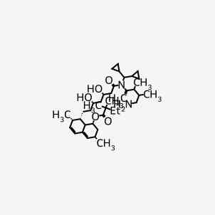 C=C(C(C)C(C)CN)N(C(=O)C[C@H](O)C[C@H](O)CC[C@@H]1C2C(=C[C@H](C)C[C@@H]2OC(=O)C(C)(C)CC)C=C[C@@H]1C)C(C1CC1)C1CC1